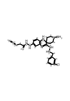 [N-]=[N+]=NCC(=O)NNc1ccc2c(c1)N=C(NNCc1cccc(Cl)c1)C1(CCN(N)CC1)N2